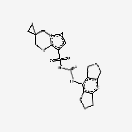 O=C(Nc1c2c(nc3c1CCC3)CCC2)NS(=O)(=O)c1cnn2c1OCC1(CC1)C2